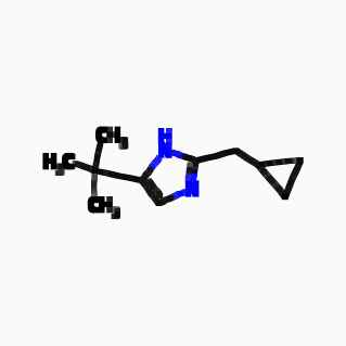 CC(C)(C)c1cnc(CC2CC2)[nH]1